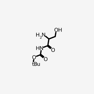 CC(C)(C)OC(=O)NC(=O)C(N)CO